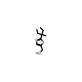 CCC(C)(CC)c1ncc(CO)s1